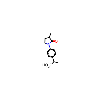 CC1CCN(c2ccc(C(C)C(=O)O)cc2)C1=O